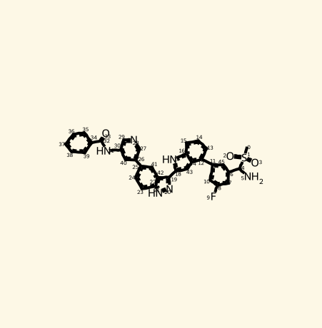 CS(=O)(=O)C(N)c1cc(F)cc(-c2cccc3[nH]c(-c4n[nH]c5ccc(-c6cncc(NC(=O)c7ccccc7)c6)cc45)cc23)c1